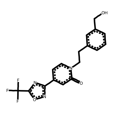 O=c1cc(-c2noc(C(F)(F)F)n2)ccn1CCc1cccc(CO)c1